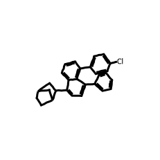 Clc1ccc(-c2cccc3c(C4CC5CCC4C5)ccc(-c4ccccc4)c23)cc1